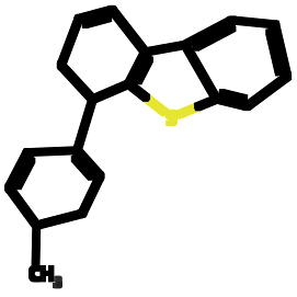 CC1C=CC(C2CC=Cc3c2sc2ccccc32)=CC1